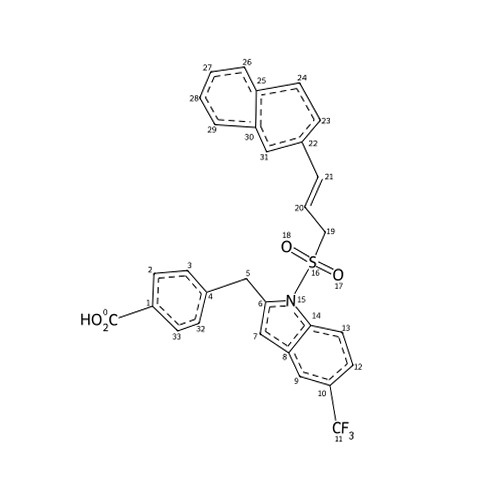 O=C(O)c1ccc(Cc2cc3cc(C(F)(F)F)ccc3n2S(=O)(=O)CC=Cc2ccc3ccccc3c2)cc1